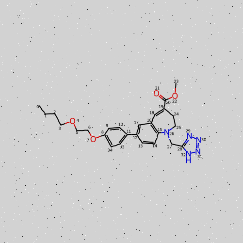 CCCCOCCOc1ccc(-c2ccc3c(c2)C=C(C(=O)OC)CCN3Cc2nnn[nH]2)cc1